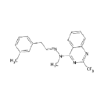 Cc1cccc(CC=NN(C)c2nc(C(F)(F)F)nc3ccccc23)c1